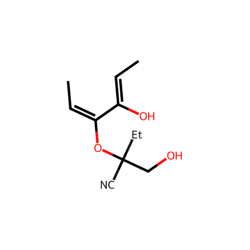 CC=C(O)C(=CC)OC(C#N)(CC)CO